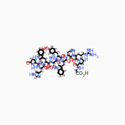 CC(C)C[C@H](NC(=O)[C@@H](Cc1c[nH]c2ccccc12)NC(=O)[C@H](Cc1ccc(O)cc1)NC(=O)[C@H](CO)NC(=O)[C@H](Cc1c[nH]c2ccccc12)NC(=O)[C@H](Cc1c[nH]cn1)NC(=O)[C@@H]1CCC(=O)N1)C(=O)N[C@@H](CCCNC(=N)N)C(=O)N1CCC[C@H]1C(=O)NCC(=O)O